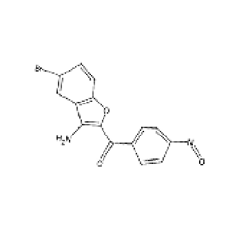 Nc1c(C(=O)c2ccc(N=O)cc2)oc2ccc(Br)cc12